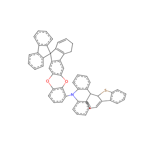 C1=CC(c2ccccc2N(c2ccccc2)c2cccc3c2Oc2cc4c(cc2O3)C2(C3=C4CCC=C3)c3ccccc3-c3ccccc32)C2Sc3ccccc3C2=C1